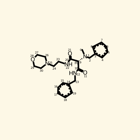 CN(Cc1ccccc1)[C@H](C(=O)N[CH]c1ccccc1)C(=O)NCCN1CCOCC1